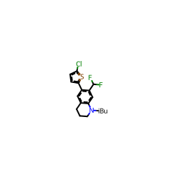 CCC(C)N1CCCc2cc(-c3ccc(Cl)s3)c(C(F)F)cc21